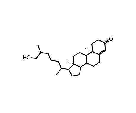 C[C@H](CO)CCC[C@@H](C)C1CCC2C3CCC4=CC(=O)CC[C@]4(C)C3CC[C@@]21C